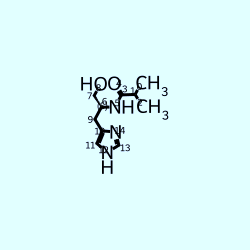 CC(C)C(=O)N[C@H](CO)Cc1c[nH]cn1